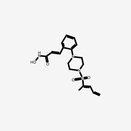 C=C/C=C(\C)S(=O)(=O)N1CCN(c2ccccc2/C=C/C(=O)NO)CC1